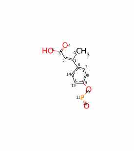 CC(=CC(=O)O)c1ccc(OP=O)cc1